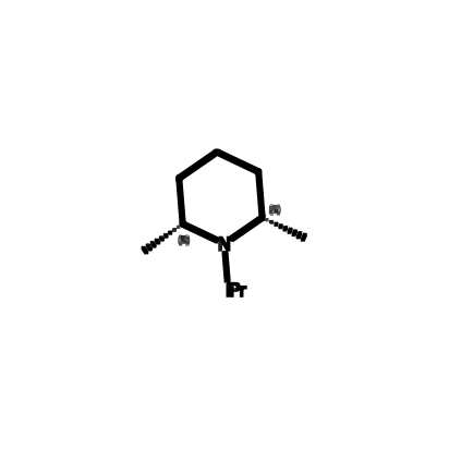 CC(C)N1[C@H](C)CCC[C@@H]1C